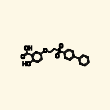 O=C(O)c1cc(OCCS(=O)(=O)c2ccc(-c3ccccc3)cc2)ccc1O